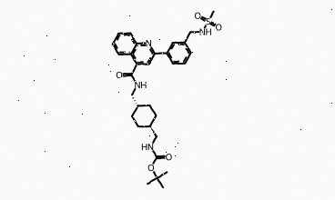 CC(C)(C)OC(=O)NC[C@H]1CC[C@H](CNC(=O)c2cc(-c3cccc(CNS(C)(=O)=O)c3)nc3ccccc23)CC1